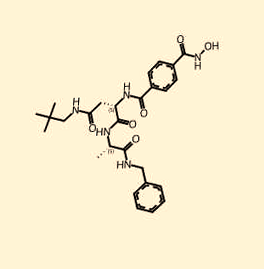 C[C@H](NC(=O)[C@H](CC(=O)NCC(C)(C)C)NC(=O)c1ccc(C(=O)NO)cc1)C(=O)NCc1ccccc1